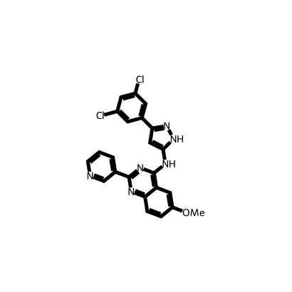 COc1ccc2nc(-c3cccnc3)nc(Nc3cc(-c4cc(Cl)cc(Cl)c4)n[nH]3)c2c1